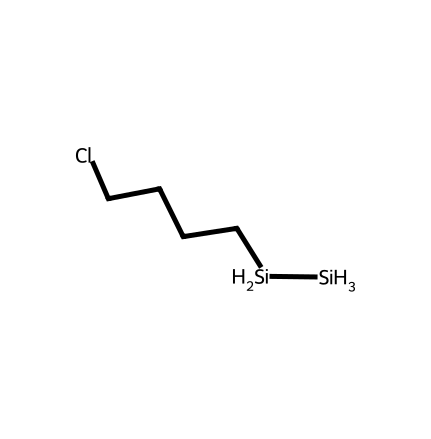 [SiH3][SiH2]CCCCCl